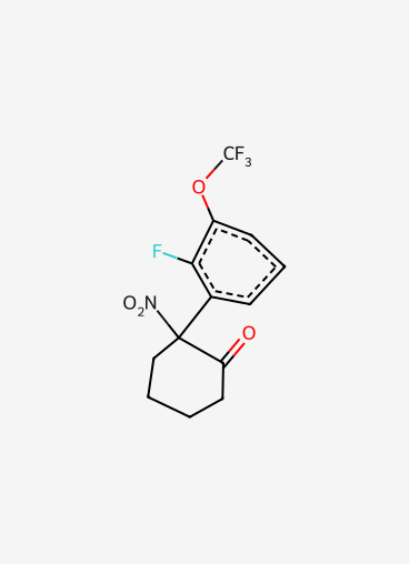 O=C1CCCCC1(c1cccc(OC(F)(F)F)c1F)[N+](=O)[O-]